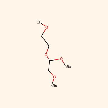 [CH2]COCCOC(COCCCC)OCCCC